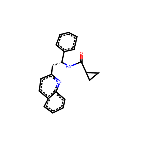 O=C(N[C@H](Cc1ccc2ccccc2n1)c1ccccc1)C1CC1